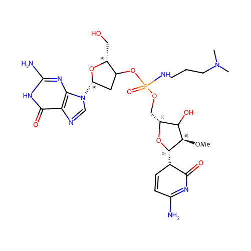 CO[C@@H]1C(O)[C@@H](COP(=O)(NCCCN(C)C)OC2C[C@H](n3cnc4c(=O)[nH]c(N)nc43)O[C@@H]2CO)O[C@H]1C1C=CC(N)=NC1=O